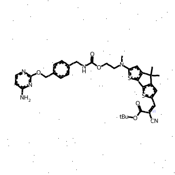 CN(CCOC(=O)NCc1ccc(COc2nccc(N)n2)cc1)c1cc2c(s1)-c1sc(/C=C(/C#N)C(=O)OC(C)(C)C)cc1C2(C)C